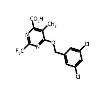 Cc1c(OCc2cc(Cl)cc(Cl)c2)nc(C(F)(F)F)nc1C(=O)O